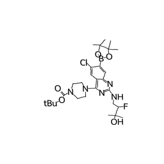 CC(C)(C)OC(=O)N1CCN(c2nc(NCC(F)C(C)(C)O)nc3cc(B4OC(C)(C)C(C)(C)O4)c(Cl)cc23)CC1